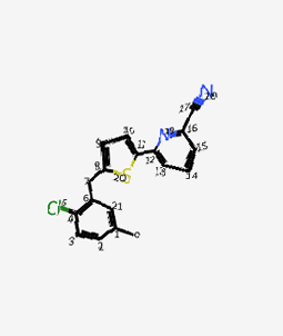 Cc1ccc(Cl)c(Cc2ccc(-c3cccc(C#N)n3)s2)c1